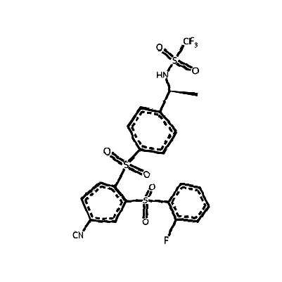 [C-]#[N+]c1ccc(S(=O)(=O)c2ccc([C@H](C)NS(=O)(=O)C(F)(F)F)cc2)c(S(=O)(=O)c2ccccc2F)c1